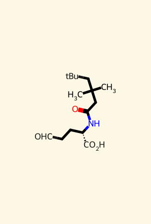 CC(C)(C)CC(C)(C)CC(=O)N[C@@H](CCC=O)C(=O)O